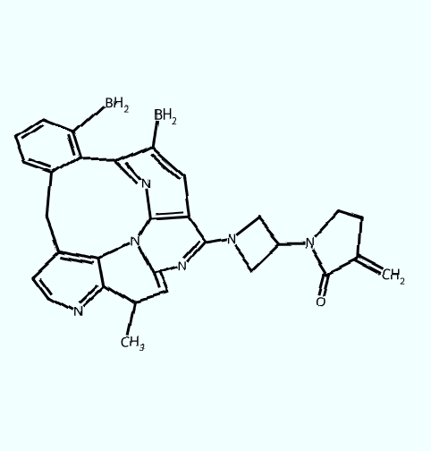 Bc1cc2c3nc1-c1c(B)cccc1Cc1ccnc4c1N3C(=CC4C)N=C2N1CC(N2CCC(=C)C2=O)C1